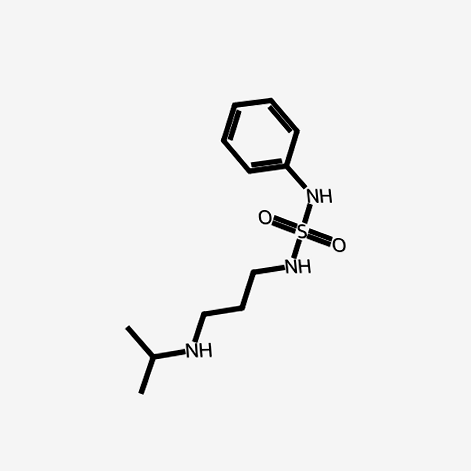 CC(C)NCCCNS(=O)(=O)Nc1ccccc1